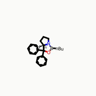 CCCCB1OC(c2ccccc2)(c2ccccc2)[C@@H]2CCCN12